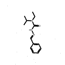 CCN(C(=O)N/N=C/c1ccccc1)C(C)C